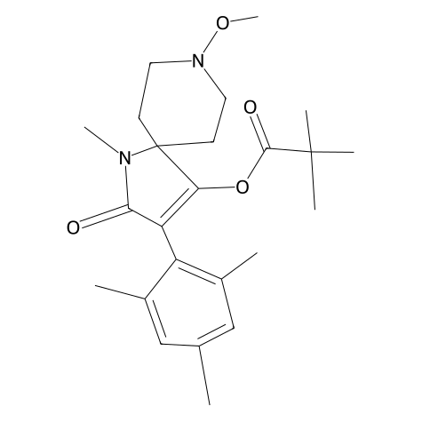 CON1CCC2(CC1)C(OC(=O)C(C)(C)C)=C(c1c(C)cc(C)cc1C)C(=O)N2C